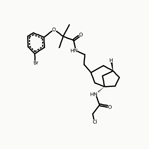 CC(C)(Oc1cccc(Br)c1)C(=O)NCCC1C[C@@H]2CC[C@@](NC(=O)CCl)(C1)C2